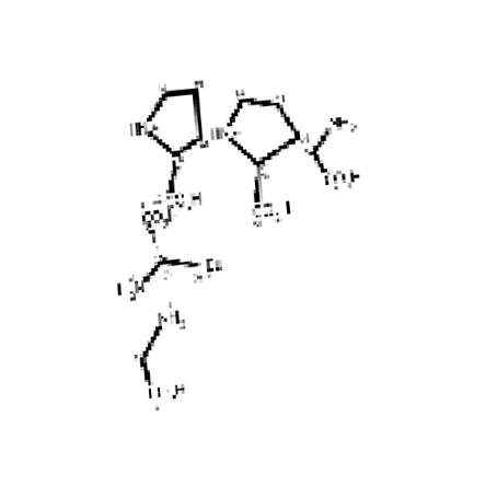 CC[C@H](C)[C@H](N)C(=O)O.NCC(=O)O.NCC(=O)O.O=C(O)[C@@H]1CCCN1.O=C(O)[C@@H]1CCCN1